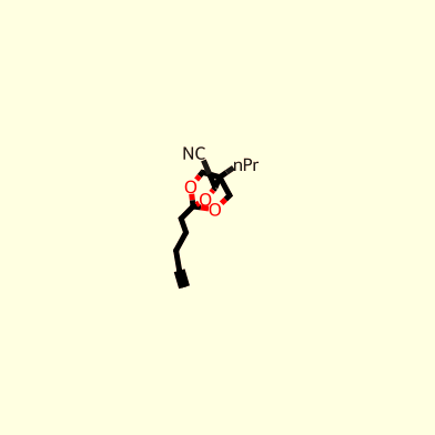 C#CCCCC12OCC(CCC)(CO1)C(C#N)O2